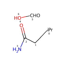 CC(C)CC(N)=O.O=CO